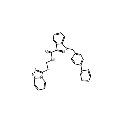 O=C(NCCc1nnc2ccccn12)c1nn(Cc2ccc(-c3ccccc3)cc2)c2ccccc12